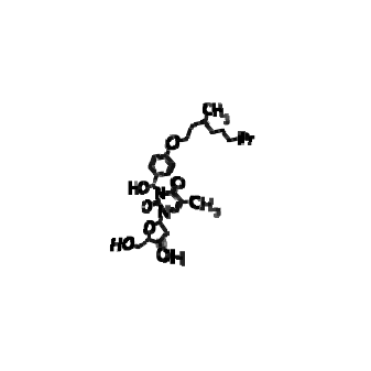 Cc1cn(C2C[C@@H](O)C(CO)O2)c(=O)n(C(O)c2ccc(OCCC(C)CCCC(C)C)cc2)c1=O